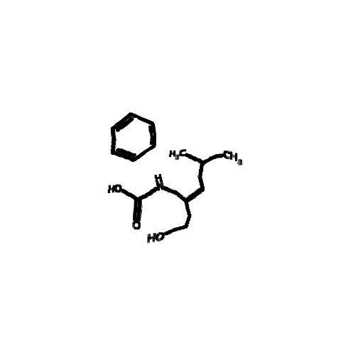 CC(C)CC(CO)NC(=O)O.c1ccccc1